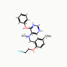 COc1ccc(OCC[18F])c(CN(C(C)=O)c2cncnc2Oc2ccccc2)c1